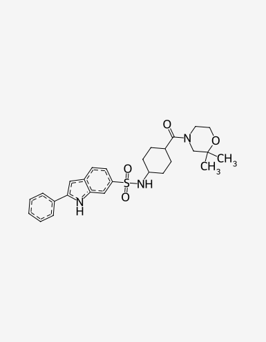 CC1(C)CN(C(=O)C2CCC(NS(=O)(=O)c3ccc4cc(-c5ccccc5)[nH]c4c3)CC2)CCO1